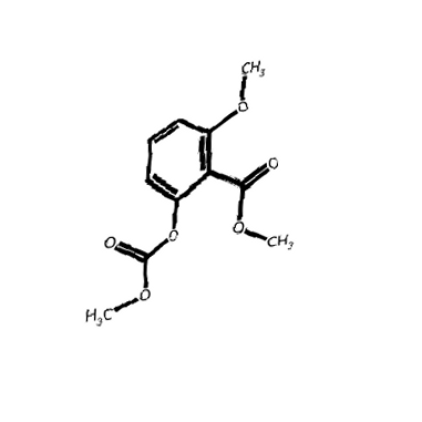 COC(=O)Oc1cccc(OC)c1C(=O)OC